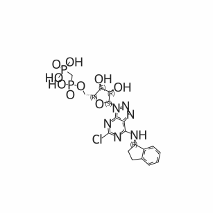 O=P(O)(O)CP(=O)(O)OC[C@H]1O[C@H](n2nnc3c(N[C@@H]4CCc5ccccc54)nc(Cl)nc32)[C@H](O)[C@@H]1O